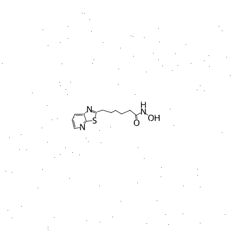 O=C(CCCCCc1nc2cccnc2s1)NO